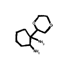 NC1CCCCC1(N)C1COCCO1